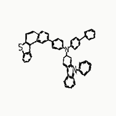 C1=CC2Sc3ccccc3C2c2cc(-c3ccc(N(c4ccc(-c5ccccc5)cc4)C4C=c5c(c6ccccc6n5-c5ccccc5)=CC4)cc3)ccc21